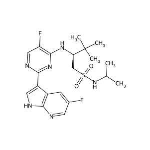 CC(C)NS(=O)(=O)C[C@@H](Nc1nc(-c2c[nH]c3ncc(F)cc23)ncc1F)C(C)(C)C